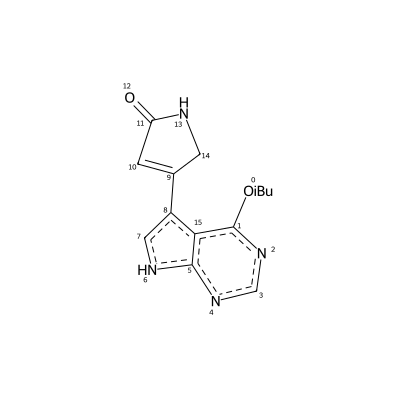 CC(C)COc1ncnc2[nH]cc(C3=CC(=O)NC3)c12